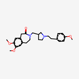 COc1ccc(CCN2CCC(CN3CCc4cc(OC)c(OC)cc4CC3=O)C2)cc1